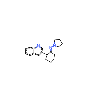 c1ccc2ncc(C3CCCCC3=NN3CCCC3)cc2c1